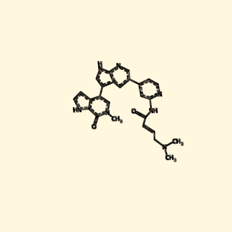 CN(C)C/C=C/C(=O)Nc1cc(-c2cnc3[nH]cc(-c4cn(C)c(=O)c5[nH]ccc45)c3c2)ccn1